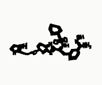 NC(=NO)c1cccc(CC(NS(=O)(=O)c2ccccc2)c2nc3ccc(OCCc4ncc[nH]4)cc3s2)c1